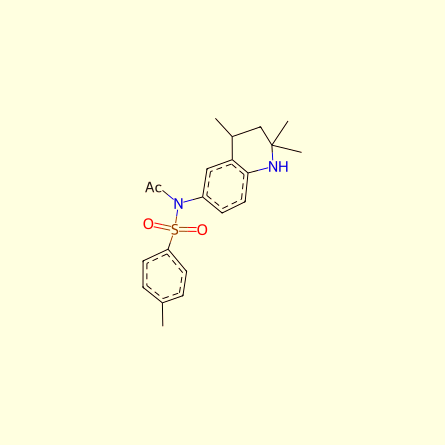 CC(=O)N(c1ccc2c(c1)C(C)CC(C)(C)N2)S(=O)(=O)c1ccc(C)cc1